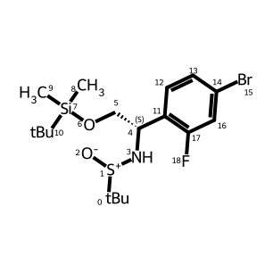 CC(C)(C)[S+]([O-])N[C@H](CO[Si](C)(C)C(C)(C)C)c1ccc(Br)cc1F